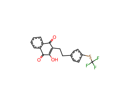 O=C1C(O)=C(CCc2ccc(SC(F)(F)F)cc2)C(=O)c2ccccc21